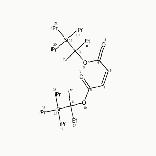 CCC(C)(OC(=O)/C=C\C(=O)OC(C)(CC)[Si](C(C)C)(C(C)C)C(C)C)[Si](C(C)C)(C(C)C)C(C)C